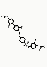 CCCCCCCCc1ccc(-c2ccc(CCC3CCC(C(F)(F)Oc4ccc(OC(F)=C(F)F)c(F)c4)CC3)c(F)c2)c(F)c1